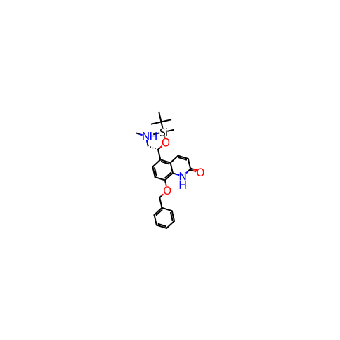 CNC[C@H](O[Si](C)(C)C(C)(C)C)c1ccc(OCc2ccccc2)c2[nH]c(=O)ccc12